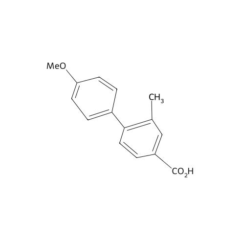 COc1ccc(-c2ccc(C(=O)O)cc2C)cc1